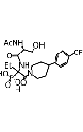 CCC(NC(=O)[C@H](CO)NC(C)=O)(C(=O)N1CCC(c2ccc(C(F)(F)F)cc2)CC1)P(=O)(O)O